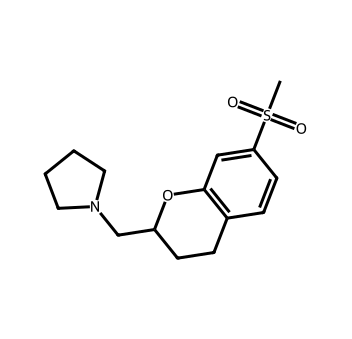 CS(=O)(=O)c1ccc2c(c1)OC(CN1CCCC1)CC2